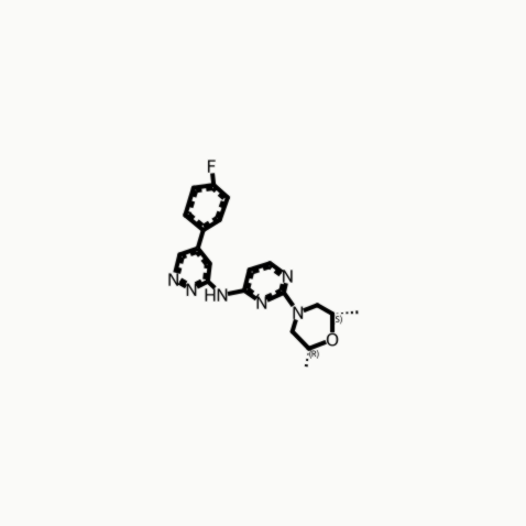 C[C@@H]1CN(c2nccc(Nc3cc(-c4ccc(F)cc4)cnn3)n2)C[C@H](C)O1